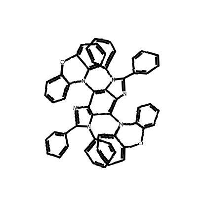 c1ccc(-c2nc3c(N4c5ccccc5Oc5ccccc54)c4c(nc(-c5ccccc5)n4-c4ccccc4)c(N4c5ccccc5Oc5ccccc54)c3n2-c2ccccc2)cc1